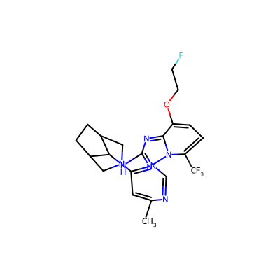 Cc1cc(N2CC3CCC(C2)C3Nc2nc3c(OCCF)ccc(C(F)(F)F)n3n2)ncn1